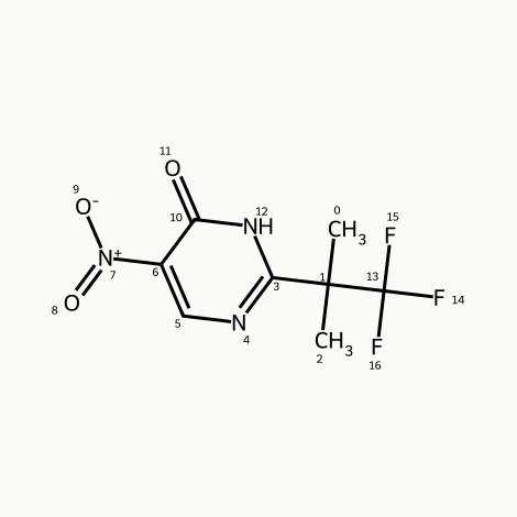 CC(C)(c1ncc([N+](=O)[O-])c(=O)[nH]1)C(F)(F)F